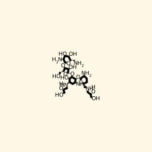 NC[C@@H]1O[C@H](O[C@H]2[C@@H](O)[C@H](O[C@@H]3[C@@H](O)[C@H](NCC(O)CO)C[C@H](N)[C@H]3O[C@H]3O[C@H](CNCC(O)CO)CC[C@H]3N)O[C@@H]2CO)[C@H](N)[C@@H](O)[C@@H]1O